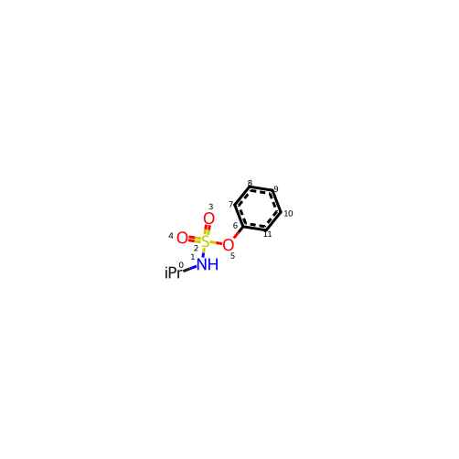 CC(C)NS(=O)(=O)Oc1ccccc1